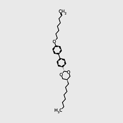 C=CCCCCCCOc1ccc(-c2ccc([C@H]3OC[C@H](CCCCCCCC)CO3)cc2)cc1